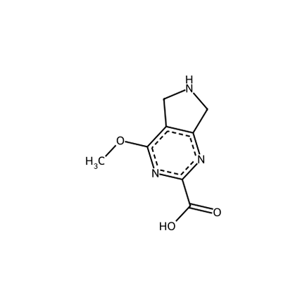 COc1nc(C(=O)O)nc2c1CNC2